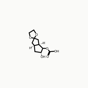 O=C(O)OC1[C@H](O)C[C@H]2CC3(C[C@@H]12)OCCO3